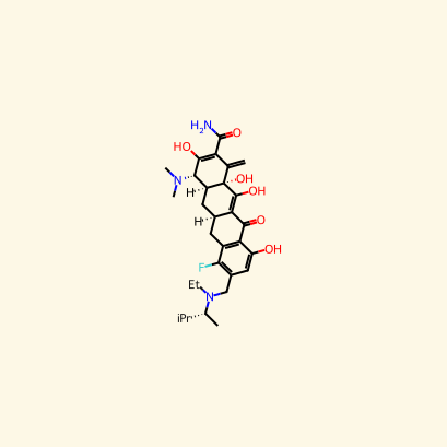 C=C1C(C(N)=O)=C(O)[C@@H](N(C)C)[C@@H]2C[C@@H]3Cc4c(F)c(CN(CC)[C@H](C)C(C)C)cc(O)c4C(=O)C3=C(O)[C@]12O